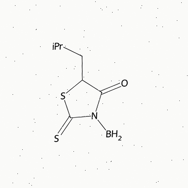 BN1C(=O)C(CC(C)C)SC1=S